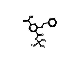 CC(C)(C)OC(=O)c1ccc(C(=O)O)cc1OCc1ccccc1